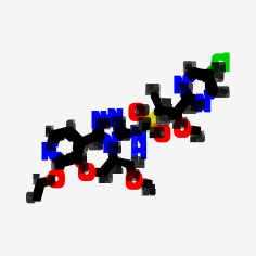 CCOc1nccc2c1OC[C@H](COC)n1c(NS(=O)(=O)[C@@H](C)[C@H](OC)c3ncc(Cl)cn3)nnc1-2